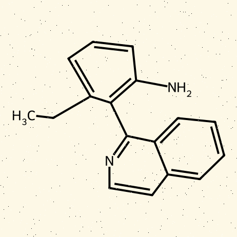 CCc1cccc(N)c1-c1nccc2ccccc12